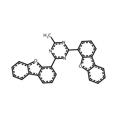 Cc1nc(-c2cccc3c2oc2ccccc23)nc(-c2cccc3c2oc2ccccc23)n1